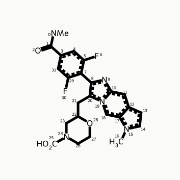 CNC(=O)c1cc(F)c(-c2nc3cc4ccn(C)c4cn3c2CC2CN(C(=O)O)CCO2)c(F)c1